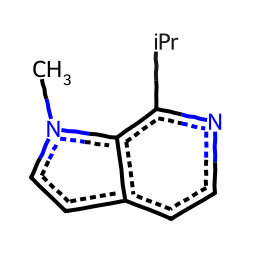 CC(C)c1nccc2ccn(C)c12